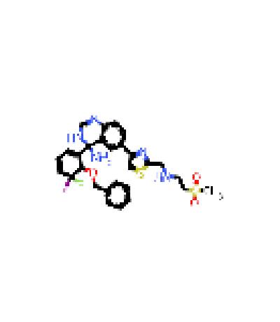 CS(=O)(=O)CCNCc1nc(-c2ccc3c(c2)C(N)(C2=CC=CC(F)(I)C2OCc2ccccc2)NC=N3)cs1